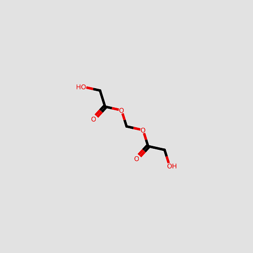 O=C(CO)OCOC(=O)CO